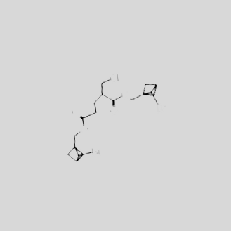 CCC(CCC(=O)OCC12CC(C1)C2Br)C(=O)OCC12CC(C1)C2Br